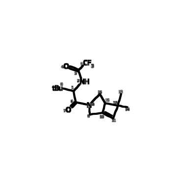 CC(C)(C)C(NC(=O)C(F)(F)F)C(=O)N1CC2=CC(C)(C)C2C1